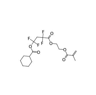 C=C(C)C(=O)OCCOC(=O)C(F)(F)CC(F)(F)OC(=O)C1CCCCC1